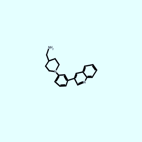 NCC1CCN(c2cccc(-c3cnc4ccccc4c3)c2)CC1